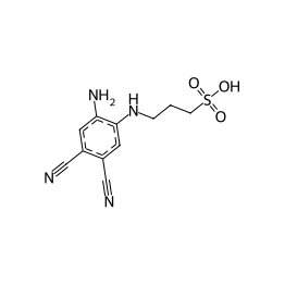 N#Cc1cc(N)c(NCCCS(=O)(=O)O)cc1C#N